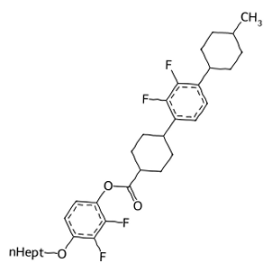 CCCCCCCOc1ccc(OC(=O)C2CCC(c3ccc(C4CCC(C)CC4)c(F)c3F)CC2)c(F)c1F